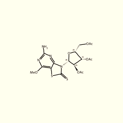 COc1nc(N)nc2c1sc(=S)n2[C@@H]1O[C@H](COC(C)=O)[C@H](OC(C)=O)[C@H]1OC(C)=O